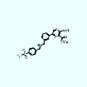 CNC(=O)c1nc(-c2cccc(CNCc3ccc(S(C)(=O)=O)cc3)c2)cnc1[AsH2]